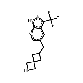 FC(F)(F)c1n[nH]c2ncc(CC3CC4(CNC4)C3)cc12